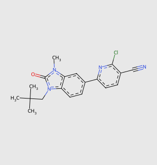 Cn1c(=O)n(CC(C)(C)C)c2ccc(-c3ccc(C#N)c(Cl)n3)cc21